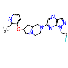 FC(F)Cn1ncc2ncc(N3CCN4CC(Oc5cccnc5C(F)(F)F)CC4C3)nc21